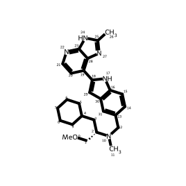 COC[C@H](CC1CCCCC1)N(C)Cc1ccc2[nH]c(-c3ccnc4[nH]c(C)nc34)cc2c1